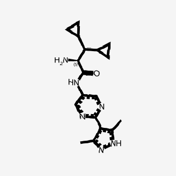 Cc1n[nH]c(C)c1-c1ncc(NC(=O)[C@@H](N)C(C2CC2)C2CC2)cn1